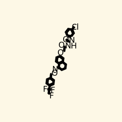 O=C(COc1ccc2c(c1)CCCC2=NOCc1ccc(C(F)(F)CF)cc1)Nc1nc2cc(Cl)ccc2o1